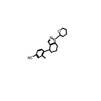 Cc1cc(C#N)ccc1C1CCCc2c1cnn2C1CCCCO1